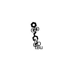 CC(C)(C)OC(=O)N1CCC(/C=C/S(=O)(=O)c2ccccc2)CC1